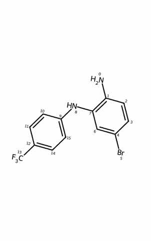 Nc1ccc(Br)cc1Nc1ccc(C(F)(F)F)cc1